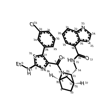 CCNc1nc(C(=O)N2[C@@H]3CC[C@@H](C3)[C@H]2CNC(=O)c2cccc3ncsc23)c(-c2cccc(Cl)c2)s1